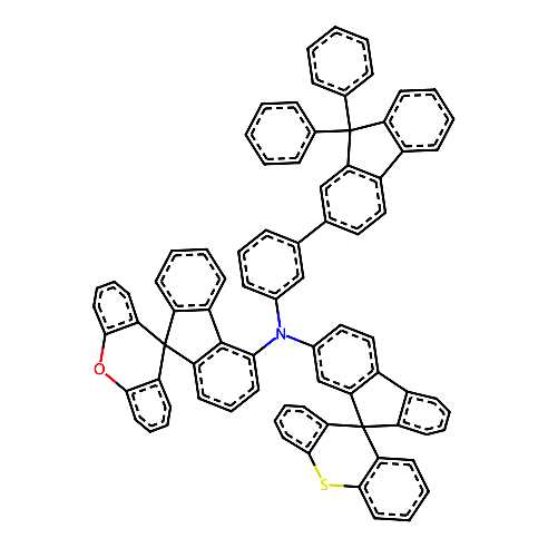 c1ccc(C2(c3ccccc3)c3ccccc3-c3ccc(-c4cccc(N(c5ccc6c(c5)C5(c7ccccc7Sc7ccccc75)c5ccccc5-6)c5cccc6c5-c5ccccc5C65c6ccccc6Oc6ccccc65)c4)cc32)cc1